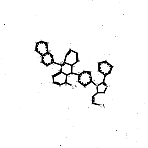 C/C=C\C1CN=C(c2ccccc2)N1c1ccc(C2C3C=CC=CC3=C(c3ccc4ccccc4c3)C3=CC=CC(C)C32)cc1